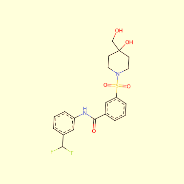 O=C(Nc1cccc(C(F)F)c1)c1cccc(S(=O)(=O)N2CCC(O)(CO)CC2)c1